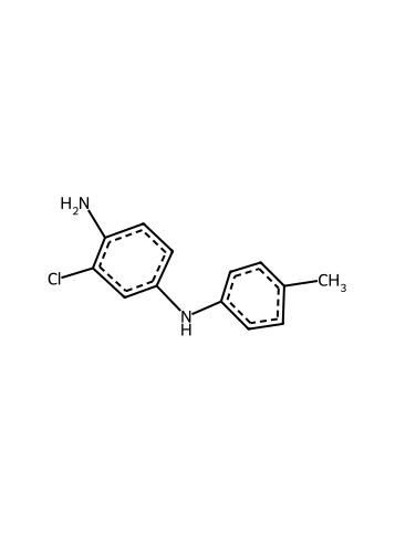 Cc1ccc(Nc2ccc(N)c(Cl)c2)cc1